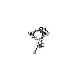 CCC1OC(=O)C(C)C(O[C@H]2C[C@@](C)(OC)[C@](O)(CNCCCOC)[C@H](C)O2)C(C)C(O[C@@H]2O[C@H](C)C[C@H](N(C)C)[C@H]2Oc2ccccc2)C(C)(O)CC(C)CNC(C)C(O)C1(C)O